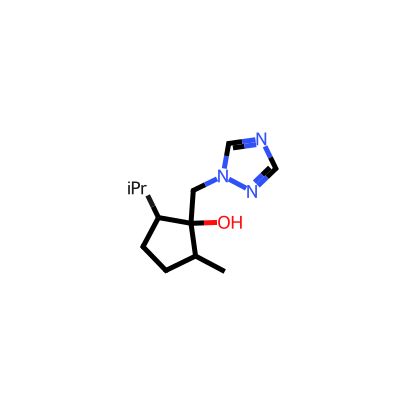 CC(C)C1CCC(C)C1(O)Cn1cncn1